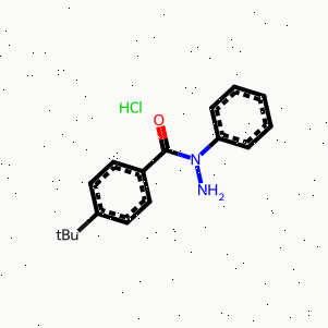 CC(C)(C)c1ccc(C(=O)N(N)c2ccccc2)cc1.Cl